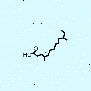 CCC(C)CCCCCCC(C)CCC(=O)O